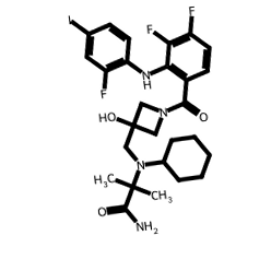 CC(C)(C(N)=O)N(CC1(O)CN(C(=O)c2ccc(F)c(F)c2Nc2ccc(I)cc2F)C1)C1CCCCC1